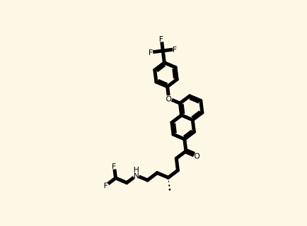 C[C@H](CCNCC(F)F)CCC(=O)c1ccc2c(Oc3ccc(C(F)(F)F)cc3)cccc2c1